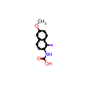 COc1ccc2c(I)c(NC(=O)O)ccc2c1